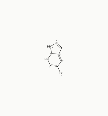 BrC1=CNC2NN=CC2=C1